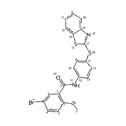 COc1ccc(Br)cc1C(=O)Nc1ccc(Sc2nc3ccccc3s2)cc1